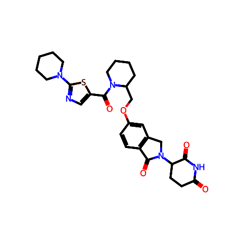 O=C1CCC(N2Cc3cc(OCC4CCCCN4C(=O)c4cnc(N5CCCCC5)s4)ccc3C2=O)C(=O)N1